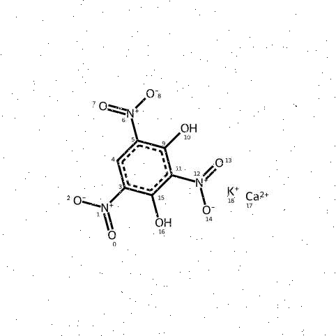 O=[N+]([O-])c1cc([N+](=O)[O-])c(O)c([N+](=O)[O-])c1O.[Ca+2].[K+]